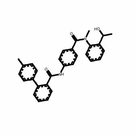 Cc1ccc(-c2ccccc2C(=O)Nc2ccc(C(=O)N(C)c3ccccc3C(C)O)cc2)cc1